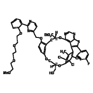 CCOC(=O)[C@H]1Cc2cc(ccc2OCc2ccnc(-c3ccccc3OCCOCCOCCOC)n2)OC[C@@H](CO)Oc2c(Cl)c(C)c(c(C)c2Cl)-c2c(-c3ccc(F)cc3)sc3ncnc(c23)O1